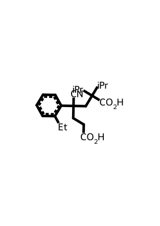 CCc1ccccc1C(C#N)(CCC(=O)O)CC(C(=O)O)(C(C)C)C(C)C